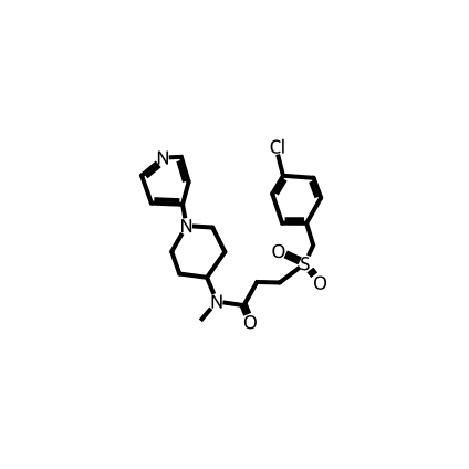 CN(C(=O)CCS(=O)(=O)Cc1ccc(Cl)cc1)C1CCN(c2ccncc2)CC1